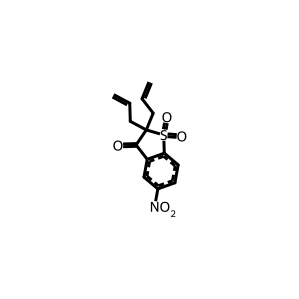 C=CCC1(CC=C)C(=O)c2cc([N+](=O)[O-])ccc2S1(=O)=O